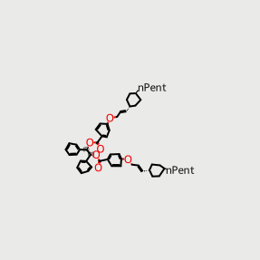 CCCCC[C@H]1CC[C@H](C=CCOc2ccc(C(=O)O[C@H](c3ccccc3)[C@H](OC(=O)c3ccc(OCC=C[C@H]4CC[C@H](CCCCC)CC4)cc3)c3ccccc3)cc2)CC1